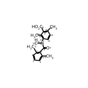 Cc1cccc(C)c1C(=O)N(C)c1ccc(C)c(C(=O)O)c1C